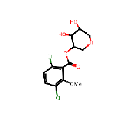 COc1c(Cl)ccc(Cl)c1C(=O)OC1COC[C@H](O)C1O